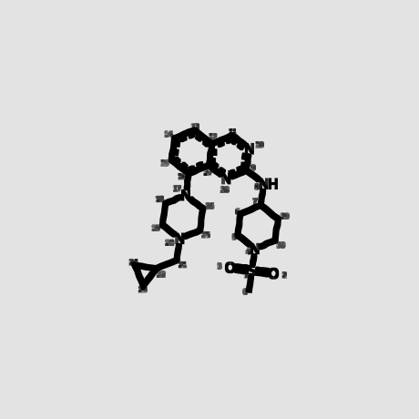 CS(=O)(=O)N1CCC(Nc2ncc3cccc(N4CCN(CC5CC5)CC4)c3n2)CC1